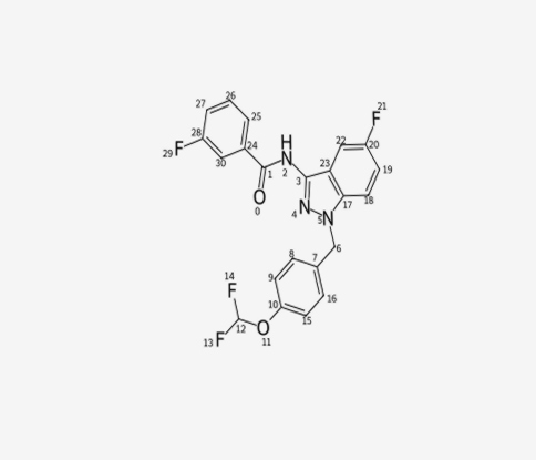 O=C(Nc1nn(Cc2ccc(OC(F)F)cc2)c2ccc(F)cc12)c1cccc(F)c1